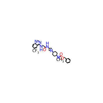 CN(C(=O)OCc1ccccc1)[C@H]1CC[C@H](N2CC(NC(=O)CNc3ncnc4ccc(C(F)(F)F)cc34)C2)CC1